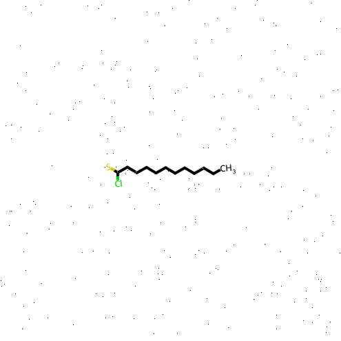 CCCCCCCCCCCC([S])Cl